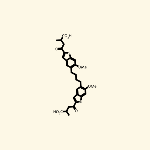 COc1cc2sc(C(=O)CC(C)C(=O)O)cc2cc1CCCCc1cc2cc(C(=O)CC(C)C(=O)O)sc2cc1OC